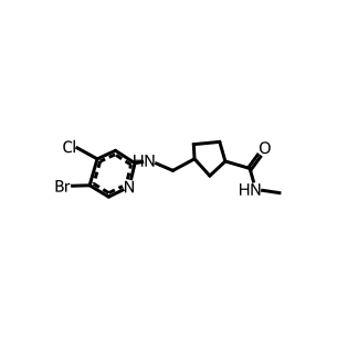 CNC(=O)C1CCC(CNc2cc(Cl)c(Br)cn2)C1